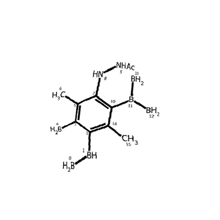 BBc1c(B)c(C)c(NNC(C)=O)c(B(B)B)c1C